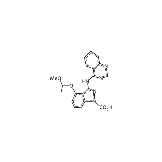 COC(C)Oc1cccc2c1c(Nc1ncnc3ccccc13)nn2C(=O)O